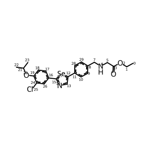 CCOC(=O)CNCc1ccc(-c2cnc(-c3ccc(OC(C)C)c(Cl)c3)[se]2)cc1